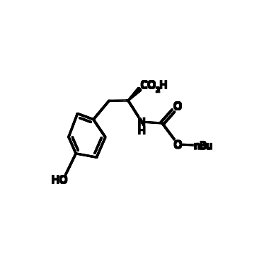 CCCCOC(=O)N[C@@H](Cc1ccc(O)cc1)C(=O)O